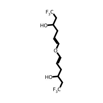 OC(CC=COC=CCC(O)CC(F)(F)F)CC(F)(F)F